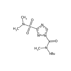 CCCCN(C)C(=O)n1cnc(S(=O)(=O)N(C)C)n1